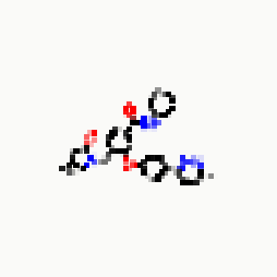 Cc1ccc(-c2ccc(Oc3cc(C(=O)NC4CCCCC4)ccc3CN3C[C@@H](C)CC3=O)cc2)nn1